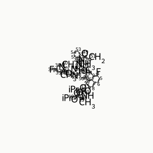 C#Cc1c(F)ccc2cc(OP(=O)(N[C@@H](C)C(=O)OC(C)C)OC(C)C)cc([C@@H]3COc4c(nc(OC[C@]5(C)C[C@@H](F)CN5C)nc4NCC4(N(C)C(=O)C=C)CCCC4)C3)c12